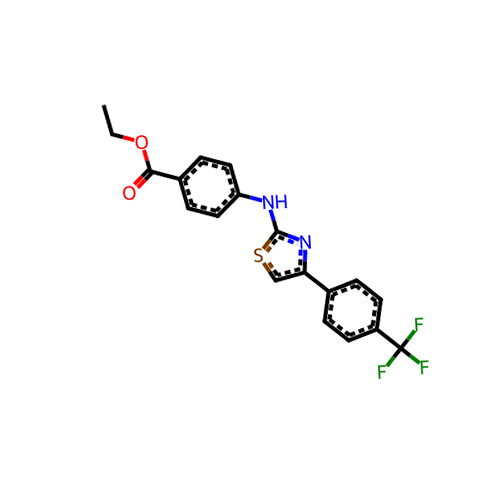 CCOC(=O)c1ccc(Nc2nc(-c3ccc(C(F)(F)F)cc3)cs2)cc1